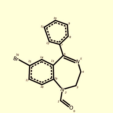 O=CN1CCN=C(c2ccccc2)c2cc(Br)ccc21